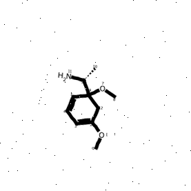 COC1=CC=CC(OC)([C@@H](C)N)C1